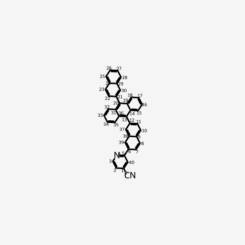 N#Cc1ccnc(-c2ccc3ccc(-c4c5ccccc5c(-c5ccc6ccccc6c5)c5ccccc45)cc3c2)c1